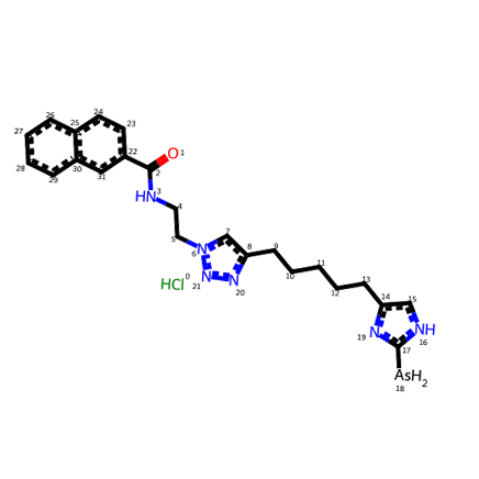 Cl.O=C(NCCn1cc(CCCCCc2c[nH]c([AsH2])n2)nn1)c1ccc2ccccc2c1